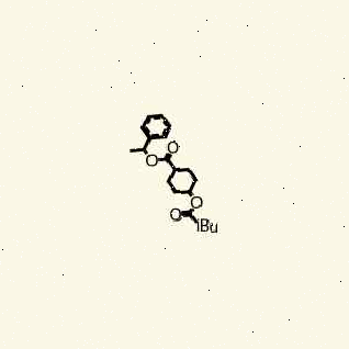 CCC(C)C(=O)OC1CCC(C(=O)OC(C)c2ccccc2)CC1